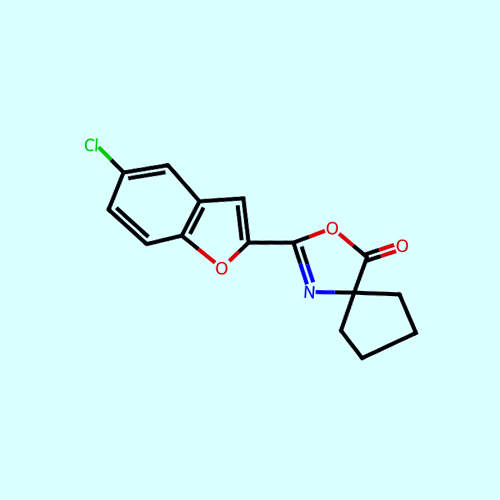 O=C1OC(c2cc3cc(Cl)ccc3o2)=NC12CCCC2